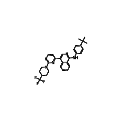 CC(C)(C)c1ccc(Nc2ncc(-c3ccnc(N4CCC(C(F)(F)F)CC4)n3)c3ccccc23)cc1